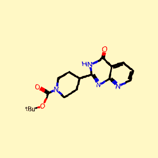 CC(C)(C)OC(=O)N1CCC(c2nc3ncccc3c(=O)[nH]2)CC1